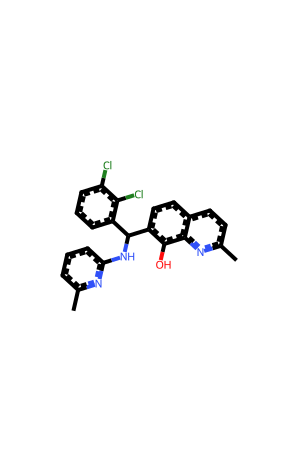 Cc1cccc(NC(c2cccc(Cl)c2Cl)c2ccc3ccc(C)nc3c2O)n1